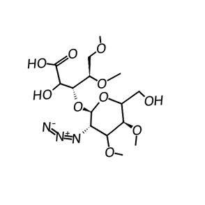 COC[C@@H](OC)[C@H](O[C@H]1OC(CO)[C@@H](OC)C(OC)[C@@H]1N=[N+]=[N-])C(O)C(=O)O